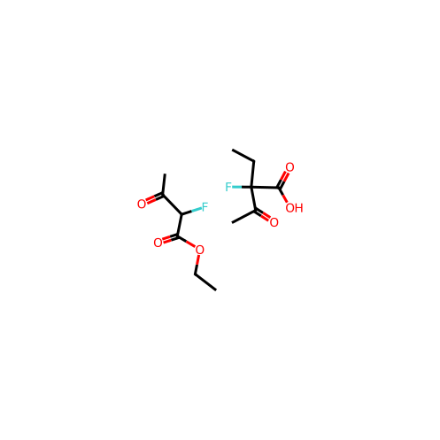 CCC(F)(C(C)=O)C(=O)O.CCOC(=O)C(F)C(C)=O